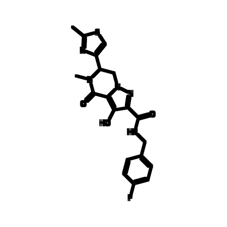 Cc1nc(C2Cn3nc(C(=O)NCc4ccc(F)cc4)c(O)c3C(=O)N2C)cs1